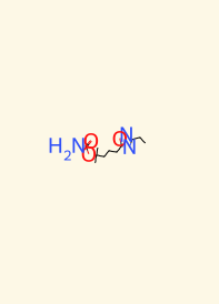 CCc1noc(CCCC(C)(C)OC(N)=O)n1